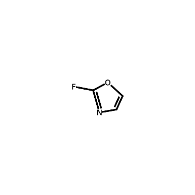 Fc1ncco1